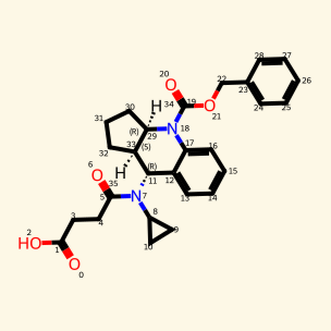 O=C(O)CCC(=O)N(C1CC1)[C@H]1c2ccccc2N(C(=O)OCc2ccccc2)[C@@H]2CCC[C@@H]21